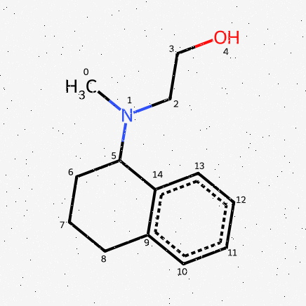 CN(CCO)C1CCCc2ccccc21